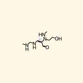 CNCN/C=C(\C=O)N(CCO)NC